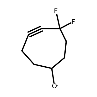 [O]C1CCC#CC(F)(F)CC1